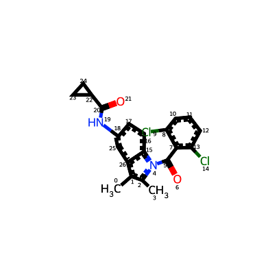 Cc1c(C)n(C(=O)c2c(Cl)cccc2Cl)c2ccc(NC(=O)C3CC3)cc12